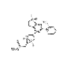 COC(=O)CC1[C@H]2CN(c3nc(N4CCCC[C@H]4C)nc4c3CCC4(F)F)C[C@@H]12